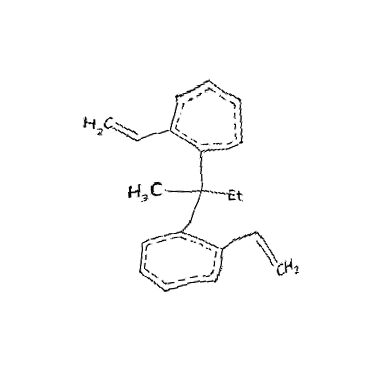 C=Cc1ccccc1C(C)(CC)c1ccccc1C=C